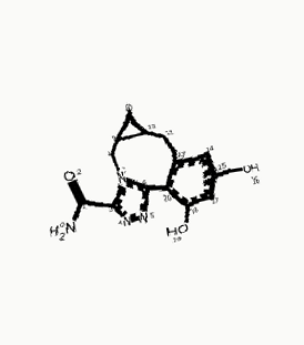 NC(=O)c1nnc2n1CC1CC1Cc1cc(O)cc(O)c1-2